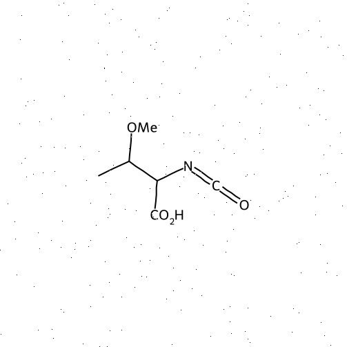 COC(C)C(N=C=O)C(=O)O